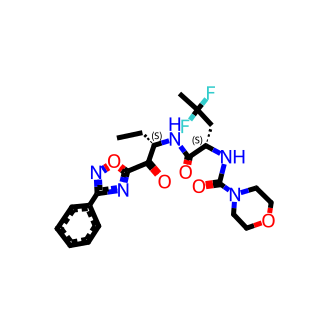 CC[C@H](NC(=O)[C@H](CC(C)(F)F)NC(=O)N1CCOCC1)C(=O)c1nc(-c2ccccc2)no1